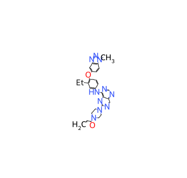 C=CC(=O)N1CCN(c2ncc3ncnc(Nc4ccc(Oc5ccc6c(c5)nnn6C)c(CC)c4)c3n2)CC1